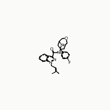 CC(C)=CCn1nc(C(=O)NC2CC3COCC(C2)N3Cc2ccc(F)cc2)c2ccccc21